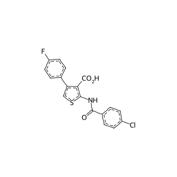 O=C(Nc1scc(-c2ccc(F)cc2)c1C(=O)O)c1ccc(Cl)cc1